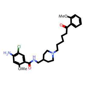 COc1ccccc1C(=O)CCCCCN1CCC(CNC(=O)c2cc(Cl)c(N)cc2OC)CC1